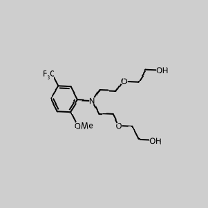 COc1ccc(C(F)(F)F)cc1N(CCOCCO)CCOCCO